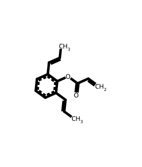 C=CC(=O)Oc1c(C=CC)cccc1C=CC